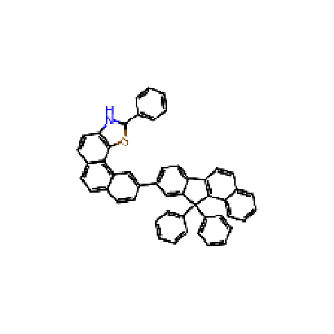 c1ccc(C2Nc3ccc4ccc5ccc(-c6ccc7c(c6)C(c6ccccc6)(c6ccccc6)c6c-7ccc7ccccc67)cc5c4c3S2)cc1